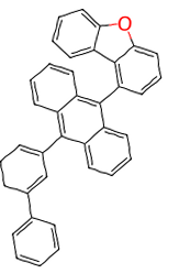 C1=C(c2ccccc2)CCC=C1c1c2ccccc2c(-c2cccc3oc4ccccc4c23)c2ccccc12